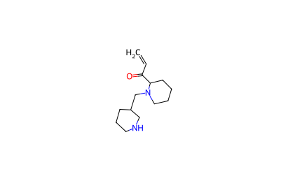 C=CC(=O)C1CCCCN1CC1CCCNC1